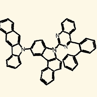 c1ccc(-c2ccccc2-c2nc(-n3c4ccc(-n5c6ccccc6c6cc7ccccc7cc65)cc4c4c5ccccc5ccc43)nc3ccccc23)cc1